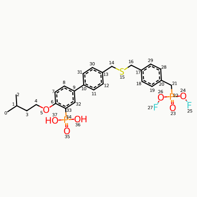 CC(C)CCOc1ccc(-c2ccc(CSCc3ccc(CP(=O)(OF)OF)cc3)cc2)cc1P(=O)(O)O